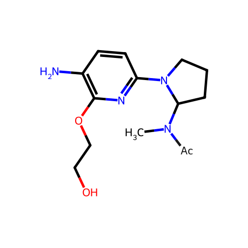 CC(=O)N(C)C1CCCN1c1ccc(N)c(OCCO)n1